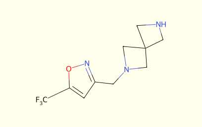 FC(F)(F)c1cc(CN2CC3(CNC3)C2)no1